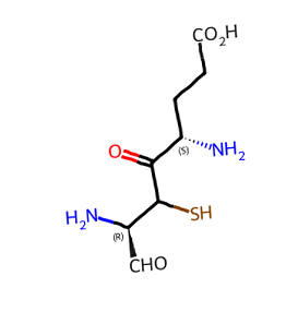 N[C@H](C=O)C(S)C(=O)[C@@H](N)CCC(=O)O